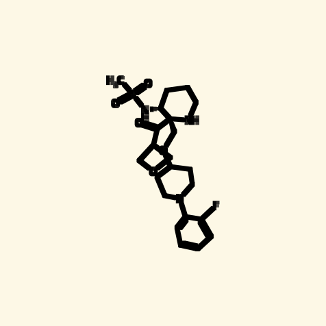 CS(=O)(=O)N[C@@H]1CCCN[C@]1(COC1CCN(c2ccccc2F)CC1)C(=O)C1COC1